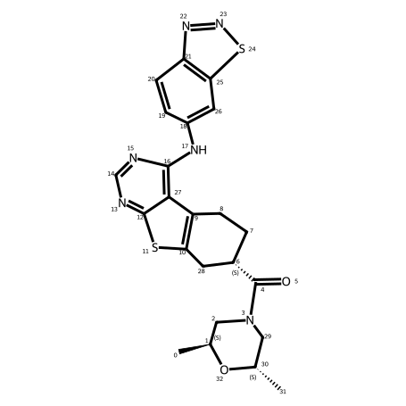 C[C@H]1CN(C(=O)[C@H]2CCc3c(sc4ncnc(Nc5ccc6nnsc6c5)c34)C2)C[C@H](C)O1